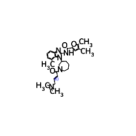 Cc1cc(C(=O)Nc2nc3cccc(C)c3n2C2CCCCN(C(=O)/C=C/CN(C)C)C2)oc1C